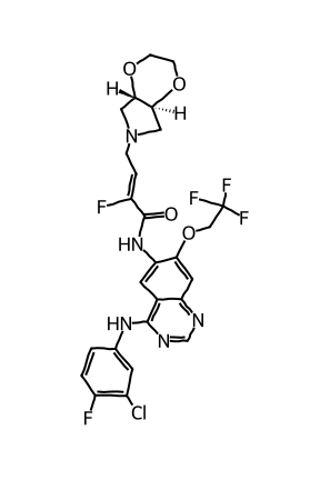 O=C(Nc1cc2c(Nc3ccc(F)c(Cl)c3)ncnc2cc1OCC(F)(F)F)/C(F)=C/CN1C[C@@H]2OCCO[C@H]2C1